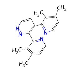 Cc1ccnc(-c2ccnnc2-c2nccc(C)c2C)c1C